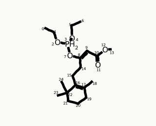 CCO[PH2](OCC)OC(=CC(=O)OC)CCC1=C(C)CCCC1(C)C